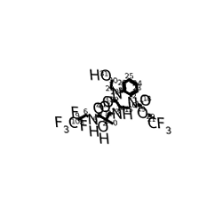 CC(O)(C(=O)NCC(F)(F)C(F)(F)F)C(=O)N[C@H]1CN(C(=O)OCC(F)(F)F)c2ccccc2N(CCO)C1=O